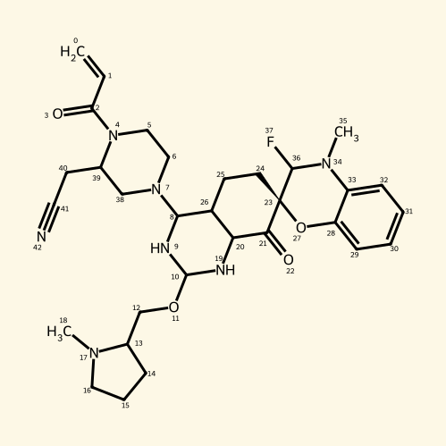 C=CC(=O)N1CCN(C2NC(OCC3CCCN3C)NC3C(=O)[C@@]4(CCC32)Oc2ccccc2N(C)C4F)CC1CC#N